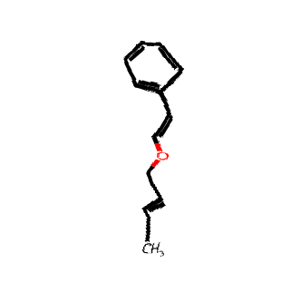 CC=CCOC=Cc1ccccc1